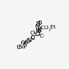 CCOC(=O)C(c1ncn2c1CCC2)n1cc2c(Cl)cc(-c3ccc(N4CCN(C(=O)OC(C)(C)C)CC4)cc3)c(Cl)c2n1